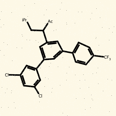 CC(=O)C(CC(C)C)c1cc(-c2ccc(C(F)(F)F)cc2)cc(-c2cc(Cl)cc(Cl)c2)c1